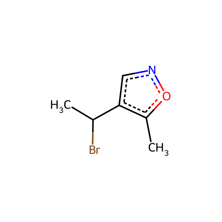 Cc1oncc1C(C)Br